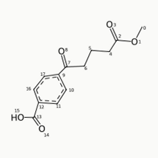 COC(=O)CCCC(=O)c1ccc(C(=O)O)cc1